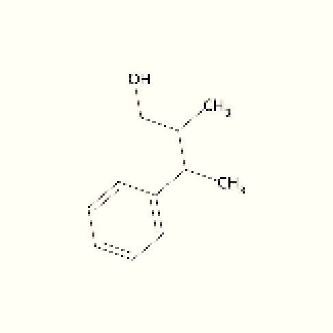 CC(CO)C(C)c1ccccc1